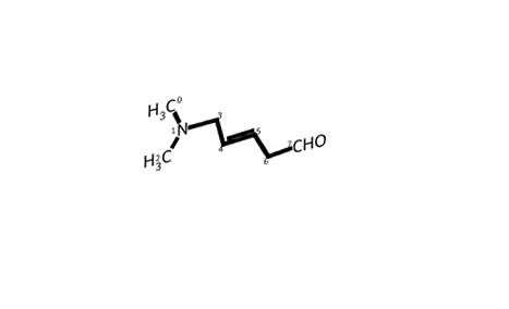 CN(C)CC=CCC=O